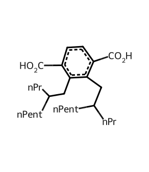 CCCCCC(CCC)Cc1c(C(=O)O)ccc(C(=O)O)c1CC(CCC)CCCCC